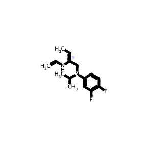 C=CN/C(=C\C)CN(c1ccc(F)c(F)c1)C(C)C